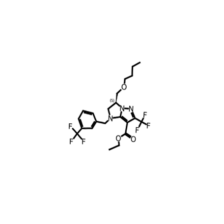 CCCCOC[C@@H]1CN(Cc2cccc(C(F)(F)F)c2)c2c(C(=O)OCC)c(C(F)(F)F)nn21